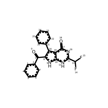 O=C(c1ccccc1)c1[nH]c2[nH]c(C(F)F)nc(=O)c2c1-c1ccccc1